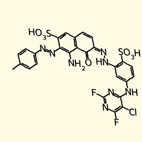 Cc1ccc(/N=N/c2c(S(=O)(=O)O)cc3c(c2N)C(=O)/C(=N\Nc2cc(Nc4nc(F)nc(F)c4Cl)ccc2S(=O)(=O)O)C=C3)cc1